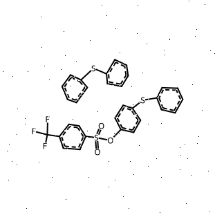 O=S(=O)(Oc1ccc(Sc2ccccc2)cc1)c1ccc(C(F)(F)F)cc1.c1ccc(Sc2ccccc2)cc1